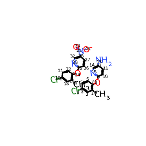 Cc1cc(Cl)ccc1Oc1ccc(N)cn1.Cc1cc(Cl)ccc1Oc1ccc([N+](=O)[O-])cn1